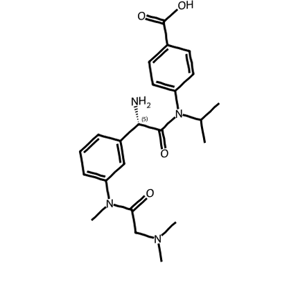 CC(C)N(C(=O)[C@@H](N)c1cccc(N(C)C(=O)CN(C)C)c1)c1ccc(C(=O)O)cc1